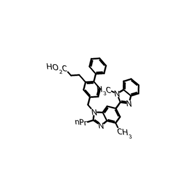 CCCc1nc2c(C)cc(-c3nc4ccccc4n3C)cc2n1Cc1ccc(-c2ccccc2)c(CCC(=O)O)c1